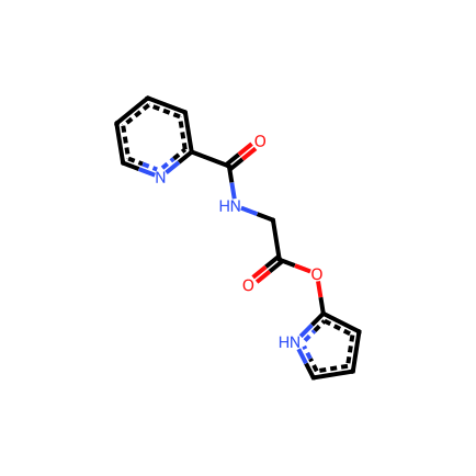 O=C(CNC(=O)c1ccccn1)Oc1ccc[nH]1